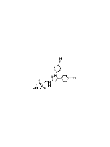 Cc1ccc(-c2cc(NC[C@H]3[C@@H]4CNC[C@@H]43)nn2-c2ccc(C#N)cc2)cc1